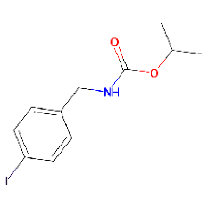 CC(C)OC(=O)NCc1ccc(I)cc1